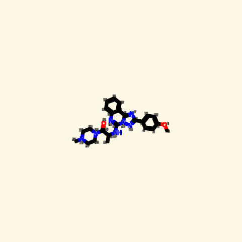 COc1ccc(-c2nc3c4ccccc4nc(NC(C)C(=O)N4CCN(C)CC4)n3n2)cc1